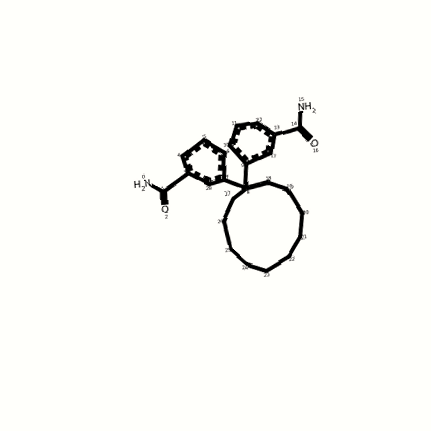 NC(=O)c1cccc(C2(c3cccc(C(N)=O)c3)CCCCCCCCCC2)c1